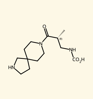 C[C@H](CNC(=O)O)C(=O)N1CCC2(CCNC2)CC1